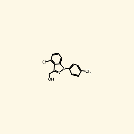 OCc1nn(-c2ccc(C(F)(F)F)cc2)c2cccc(Cl)c12